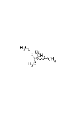 CCCCCCCCC[P+](CCC)(CCC)CCCCCCCCC.[Br-]